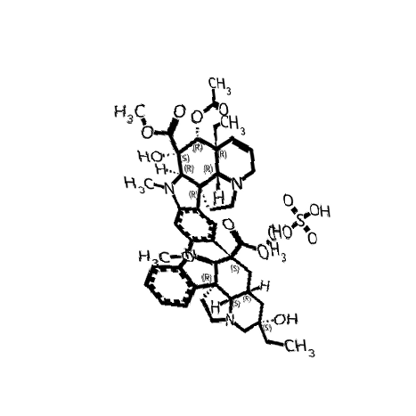 CC[C@]1(O)C[C@H]2C[C@](C(=O)OC)(c3cc4c(cc3OC)N(C)[C@H]3[C@@](O)(C(=O)OC)[C@H](OC(C)=O)[C@]5(CC)C=CCN6CC[C@]43[C@@H]65)C3=Nc4ccccc4[C@@]34CCN(C1)[C@@H]24.O=S(=O)(O)O